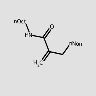 C=C(CCCCCCCCCC)C(=O)NCCCCCCCC